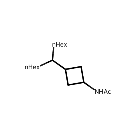 CCCCCCC(CCCCCC)C1CC(NC(C)=O)C1